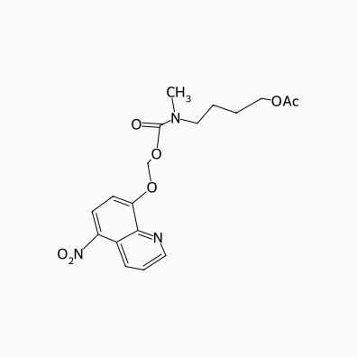 CC(=O)OCCCCN(C)C(=O)OCOc1ccc([N+](=O)[O-])c2cccnc12